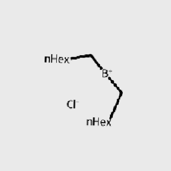 CCCCCCC[B+]CCCCCCC.[Cl-]